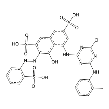 Cc1ccccc1Nc1nc(Cl)nc(Nc2cc(S(=O)(=O)O)cc3cc(S(=O)(=O)O)c(N=Nc4ccccc4S(=O)(=O)O)c(O)c23)n1